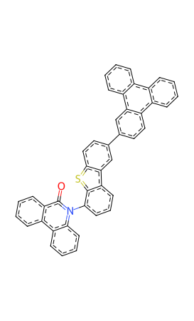 O=c1c2ccccc2c2ccccc2n1-c1cccc2c1sc1ccc(-c3ccc4c5ccccc5c5ccccc5c4c3)cc12